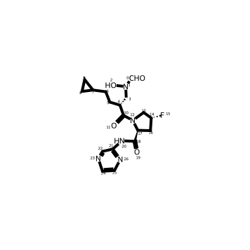 O=CN(O)C[C@@H](CCC1CC1)C(=O)N1C[C@H](F)C[C@H]1C(=O)Nc1cnccn1